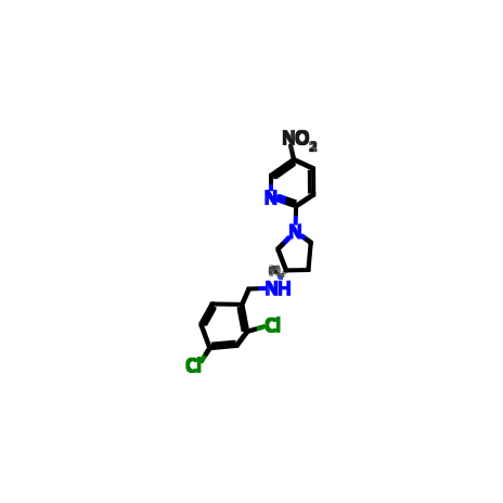 O=[N+]([O-])c1ccc(N2CC[C@H](NCc3ccc(Cl)cc3Cl)C2)nc1